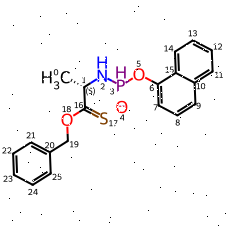 C[C@H](N[PH](=O)Oc1cccc2ccccc12)C(=S)OCc1ccccc1